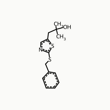 CC(C)(O)Cc1cnc(SCc2ccccc2)s1